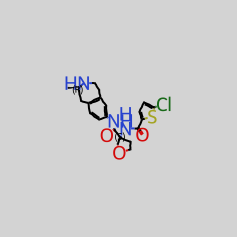 C[C@@H]1Cc2ccc(NC(=O)[C@]3(NC(=O)c4ccc(Cl)s4)CCOC3)cc2CCN1